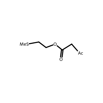 CSCCOC(=O)CC(C)=O